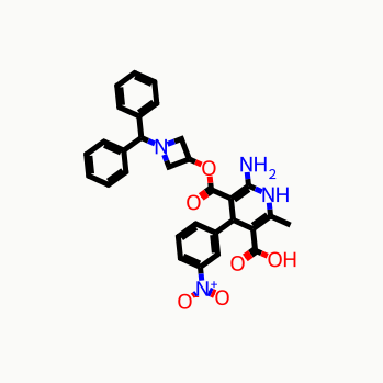 CC1=C(C(=O)O)C(c2cccc([N+](=O)[O-])c2)C(C(=O)OC2CN(C(c3ccccc3)c3ccccc3)C2)=C(N)N1